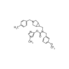 Cc1ccc(CN2CC3C(C2)C3CN(Cc2cccc(OC(F)(F)F)c2)C(=O)Oc2cn(C)cn2)cc1